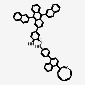 N=C1C=CC(c2ccc3c(-c4ccc5ccccc5c4)c4ccccc4c(-c4ccc5ccccc5c4)c3c2)=C/C1=N/Nc1ccc(-c2ccc(-c3cccccccnc3)c3ccccc23)cc1